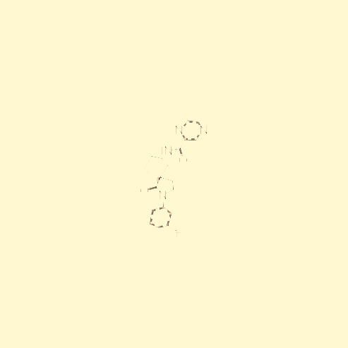 Cc1cncc(C(=O)N[C@H]2CCC[C@@]3(CCN(c4cccc(F)c4)C3=O)C2)n1